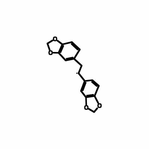 [CH](Cc1ccc2c(c1)OCO2)c1ccc2c(c1)OCO2